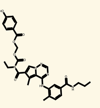 CCCNC(=O)c1ccc(C)c(Nc2ncnn3cc(C(=O)N(CC)C(=O)OCOC(=O)c4ccc(O)cc4)c(C)c23)c1